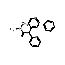 CN(C)C(=O)C(c1ccccc1)c1ccccc1.c1ccccc1